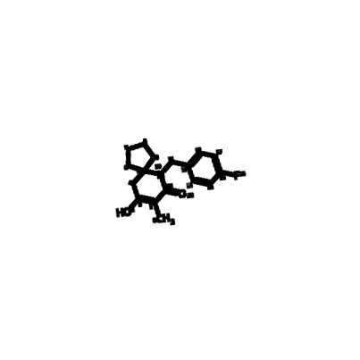 CC1=C(O)CC2(CCCC2)N(Cc2ccc(F)cc2)C1=O